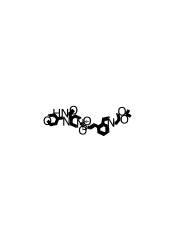 CC1(C)OCC(Cn2ccc3c(C=CS(=O)(=O)N4CCC5(CC4)N=C(C4CCOCC4)NC5=O)cccc32)O1